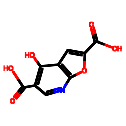 O=C(O)c1cc2c(O)c(C(=O)O)cnc2o1